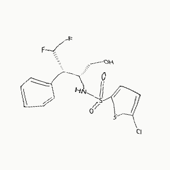 O=S(=O)(N[C@@H](CO)[C@H](c1ccccc1)C(F)F)c1ccc(Cl)s1